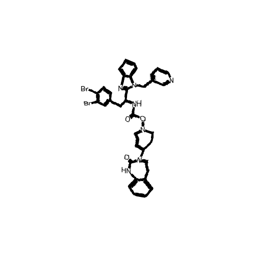 O=C(NC(Cc1ccc(Br)c(Br)c1)c1nc2ccccc2n1Cc1cccnc1)ON1CCC(N2CCc3ccccc3NC2=O)CC1